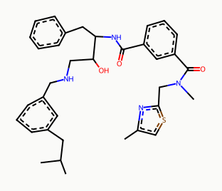 Cc1csc(CN(C)C(=O)c2cccc(C(=O)NC(Cc3ccccc3)C(O)CNCc3cccc(CC(C)C)c3)c2)n1